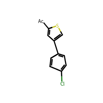 CC(=O)c1cc(-c2ccc(Cl)cc2)cs1